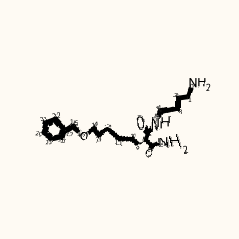 NCCCCNC(=O)[C@@H](CCCCCCOCc1ccccc1)C(N)=O